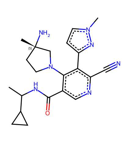 CC(NC(=O)c1cnc(C#N)c(-c2ccn(C)n2)c1N1CC[C@](C)(N)C1)C1CC1